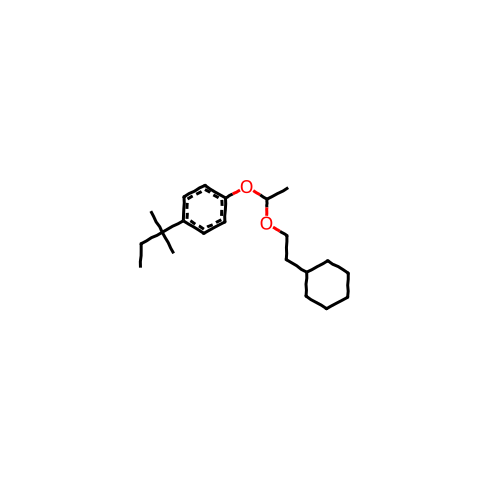 CCC(C)(C)c1ccc(OC(C)OCCC2CCCCC2)cc1